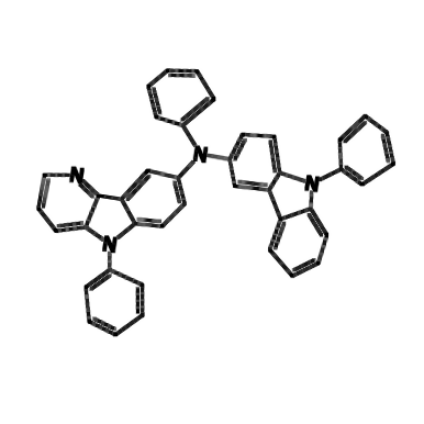 c1ccc(N(c2ccc3c(c2)c2ccccc2n3-c2ccccc2)c2ccc3c(c2)c2ncccc2n3-c2ccccc2)cc1